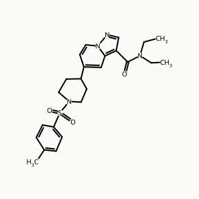 CCN(CC)C(=O)c1cnn2ccc(C3CCN(S(=O)(=O)c4ccc(C)cc4)CC3)cc12